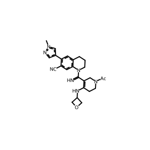 CC(=O)N1CCC(NC2COC2)=C(C(=N)N2CCCc3cc(-c4cnn(C)c4)c(C#N)cc32)C1